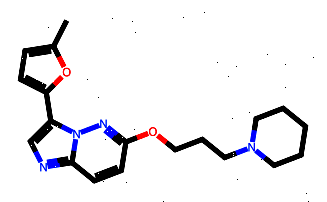 Cc1ccc(-c2cnc3ccc(OCCCN4CCCCC4)nn23)o1